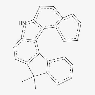 CC1(C)c2ccccc2-c2c1ccc1[nH]c3ccc4ccccc4c3c21